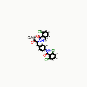 COC(=O)C(Cc1ccc(NC(=O)c2c(Cl)cccc2Cl)cc1)NC(=O)c1c(C)cccc1Cl